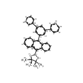 CC1(C)OB(c2c3ccccc3c(-c3cc(-c4cccnc4)cc(-c4cccnc4)c3)c3ccccc23)OC1(C)C